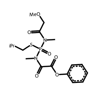 COCC(=O)N(C)P(=O)(SCC(C)C)N(C)C(=O)C(=O)Oc1ccccc1